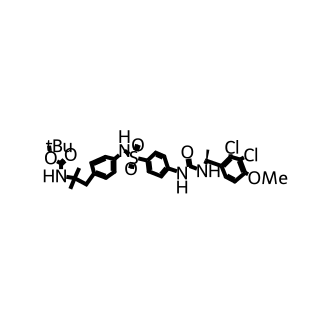 COc1ccc([C@H](C)NC(=O)Nc2ccc(S(=O)(=O)Nc3ccc(CC(C)(C)NC(=O)OC(C)(C)C)cc3)cc2)c(Cl)c1Cl